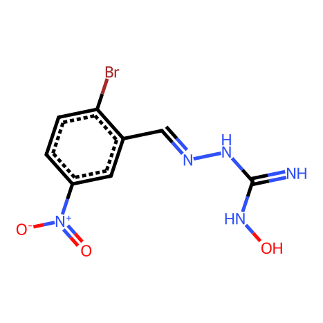 N=C(NO)NN=Cc1cc([N+](=O)[O-])ccc1Br